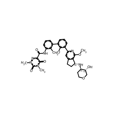 COc1nc(-c2cccc(-c3cccc(NC(=O)c4nn(C)c(=O)n(C)c4=O)c3C)c2Cl)cc2c1[C@H](N[C@@H]1CCOC[C@H]1O)CC2